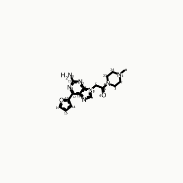 CN1CCN(C(=O)Cn2cnc3c(-c4ccco4)nc(N)nc32)CC1